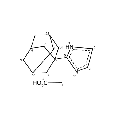 CC(=O)O.c1c[nH]c(C23CC4CC(CC(C4)C2)C3)n1